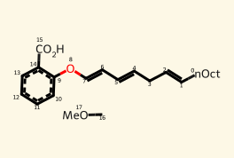 CCCCCCCCC=CCC=CC=COc1ccccc1C(=O)O.COC